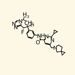 Cn1cnnc1[C@@H](F)[C@](C)(F)c1cccc(NC(=O)c2cc(CN3CCC4(CC4)C3)nc(C3CC3)n2)c1